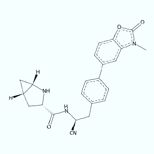 Cn1c(=O)oc2ccc(-c3ccc(C[C@@H](C#N)NC(=O)[C@@H]4C[C@@H]5C[C@@H]5N4)cc3)cc21